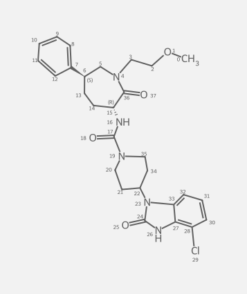 COCCN1C[C@H](c2ccccc2)CC[C@@H](NC(=O)N2CCC(n3c(=O)[nH]c4c(Cl)cccc43)CC2)C1=O